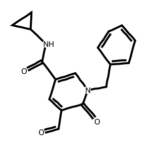 O=Cc1cc(C(=O)NC2CC2)cn(Cc2ccccc2)c1=O